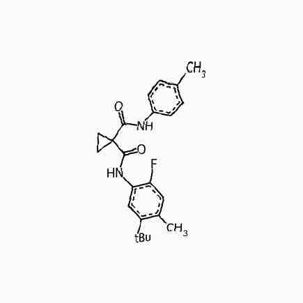 Cc1ccc(NC(=O)C2(C(=O)Nc3cc(C(C)(C)C)c(C)cc3F)CC2)cc1